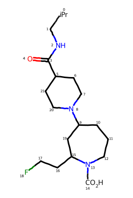 CC(C)CNC(=O)C1CCN(C2CCCN(C(=O)O)C(CCF)C2)CC1